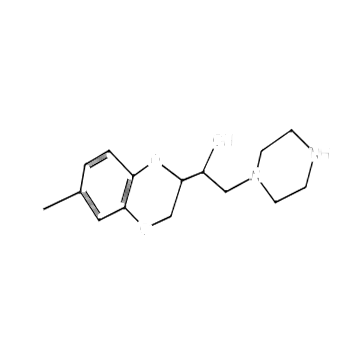 Cc1ccc2c(c1)OCC(C(O)CN1CCNCC1)O2